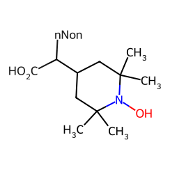 CCCCCCCCCC(C(=O)O)C1CC(C)(C)N(O)C(C)(C)C1